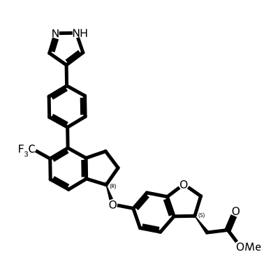 COC(=O)C[C@@H]1COc2cc(O[C@@H]3CCc4c3ccc(C(F)(F)F)c4-c3ccc(-c4cn[nH]c4)cc3)ccc21